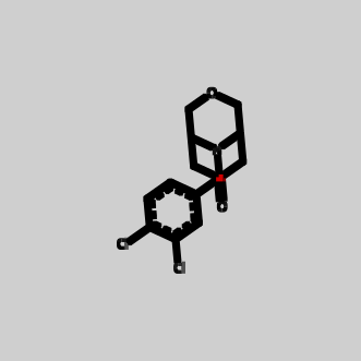 O=C1CC2COCC(C1)N2Cc1ccc(Cl)c(Cl)c1